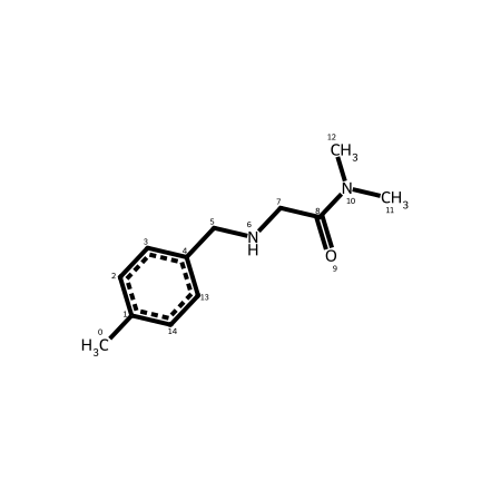 Cc1ccc(CNCC(=O)N(C)C)cc1